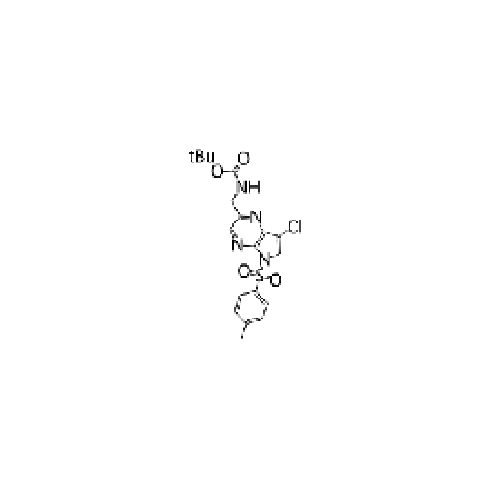 Cc1ccc(S(=O)(=O)n2cc(Cl)c3nc(CNC(=O)OC(C)(C)C)cnc32)cc1